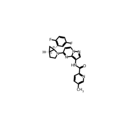 Cc1ccc(C(=O)Nc2cnn3ccc(N4CC[C@H]5C[C@]54c4cc(F)ccc4F)nc23)nc1